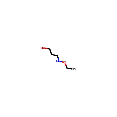 CCCCONCCCO